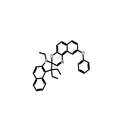 CCN1c2ccc3ccccc3c2C(CC)(CC)C12C=Nc1c(ccc3ccc(Oc4ccccc4)cc13)O2